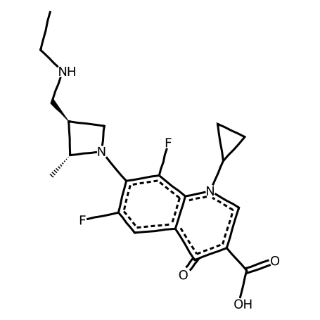 CCNC[C@H]1CN(c2c(F)cc3c(=O)c(C(=O)O)cn(C4CC4)c3c2F)[C@@H]1C